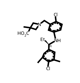 CC[C@@H](Nc1ccc(Cl)c(CN2CC(C)(C(=O)O)C2)c1)c1cc(C)c(Cl)c(C)c1